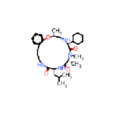 CC(C)C[C@H]1NC(=O)[C@@H](C)N(C)C(=O)[C@H](C2CCCCC2)NC[C@@H](C)Oc2ccccc2CCCNC1=O